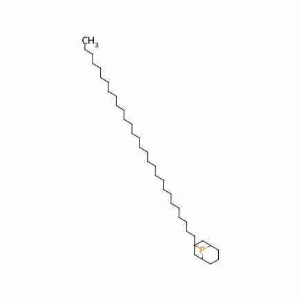 CCCCCCCCCCCCCCCCCCCCCCCCCCCCCCP1C2CCCC1CCC2